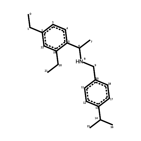 CCc1ccc(C(C)NCc2ccc(C(C)C)cc2)c(CC)c1